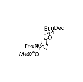 CCC=C(CCCCCCCCCCC)OCCC(C)(C)/C=N/C(CC)C(=O)OC